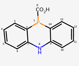 O=C(O)P1c2ccccc2Nc2ccccc21